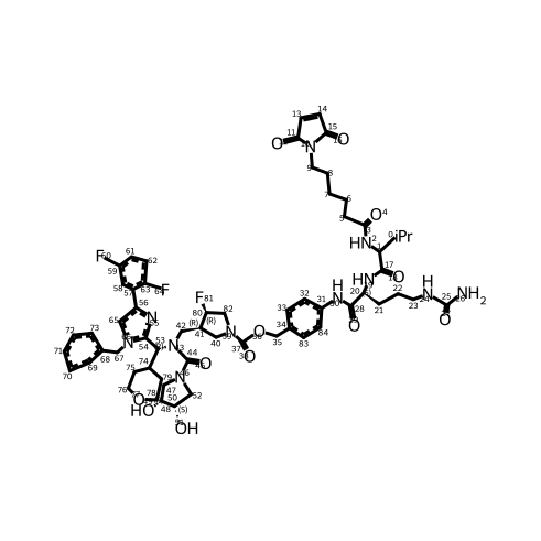 CC(C)C(NC(=O)CCCCCN1C(=O)C=CC1=O)C(=O)N[C@@H](CCCNC(N)=O)C(=O)Nc1ccc(COC(=O)N2C[C@@H](CN(C(=O)N3C[C@@H](O)[C@@H](O)C3)[C@@H](c3nc(-c4cc(F)ccc4F)cn3Cc3ccccc3)C3CCOCC3)[C@@H](F)C2)cc1